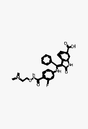 CN(C)CCONC(=O)c1ccc(N/C(=C2\C(=O)Nc3cc(C(=O)O)ccc32)c2ccccc2)cc1F